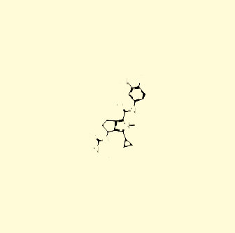 Cn1c(C(=O)Nc2ccc(F)c(Cl)c2)c2c(c1C1CC1)C(OC(N)=O)CC2